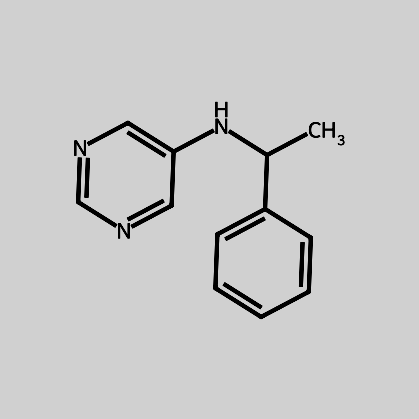 CC(Nc1cncnc1)c1ccccc1